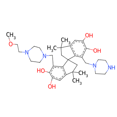 COCCN1CCN(Cc2c(O)c(O)cc3c2C2(CC(C)(C)c4cc(O)c(O)c(CN5CCNCC5)c42)CC3(C)C)CC1